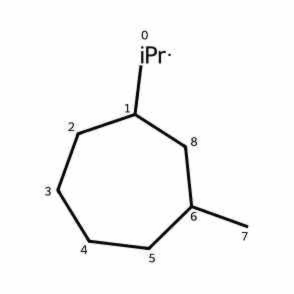 C[C](C)C1CCCCC(C)C1